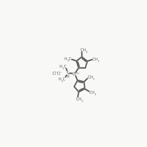 CC1=C(C)C(C)=[C]([Zr+2]([C]2=C(C)C(C)=C(C)C2)[SiH](C)C)C1.[Cl-].[Cl-]